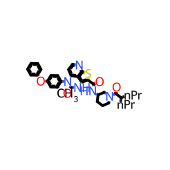 CCCC(CCC)C(=O)N1CCCC(NC(=O)c2sc3nccc4c3c2NC(=O)N4c2ccc(Oc3ccccc3)cc2C)C1